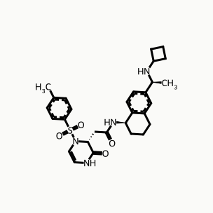 Cc1ccc(S(=O)(=O)N2C=CNC(=O)[C@H]2CC(=O)N[C@@H]2CCCc3cc([C@H](C)NC4CCC4)ccc32)cc1